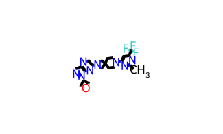 Cc1nc(N2CCC3(CC2)CN(c2cnc4cnn(C5COC5)c4n2)C3)cc(C(F)(F)F)n1